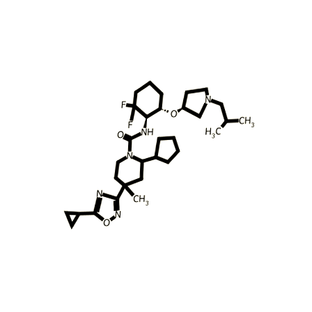 CC(C)CN1CC[C@H](O[C@H]2CCCC(F)(F)[C@@H]2NC(=O)N2CCC(C)(c3noc(C4CC4)n3)CC2C2CCCC2)C1